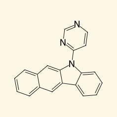 c1ccc2cc3c(cc2c1)c1ccccc1n3-c1ccncn1